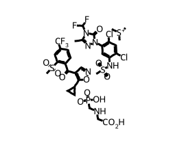 CS(=O)(=O)c1cc(C(F)(F)F)ccc1C(=O)c1cnoc1C1CC1.C[S+](C)C.Cc1nn(-c2cc(NS(C)(=O)=O)c(Cl)cc2Cl)c(=O)n1C(F)F.O=C(O)CNCP(=O)([O-])O